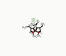 CCC1C=C(C)C(C)=[C]1[Zr]([CH3])([CH3])(=[SiH2])[C]1=C(C)C(C)=CC1CC.Cl.Cl